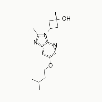 Cc1nc2cc(OCCC(C)C)cnc2n1[C@H]1C[C@@](C)(O)C1